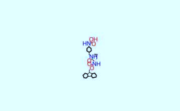 O=C(O)Nc1ccc(CNC(=O)[C@H](CC2CC2)NC(=O)OCC2c3ccccc3-c3ccccc32)cc1